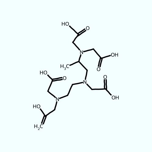 C=C(O)CN(CCN(CC(=O)O)CC(C)N(CC(=O)O)CC(=O)O)CC(=O)O